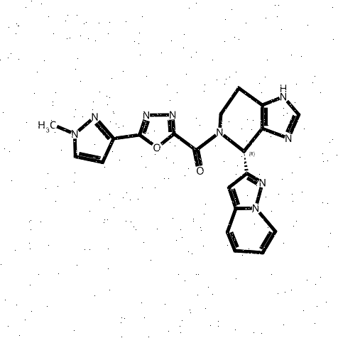 Cn1ccc(-c2nnc(C(=O)N3CCc4[nH]cnc4[C@@H]3c3cc4ccccn4n3)o2)n1